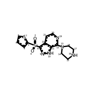 O=S(=O)(c1cccs1)c1n[nH]c2c(N3CCNCC3)nccc12